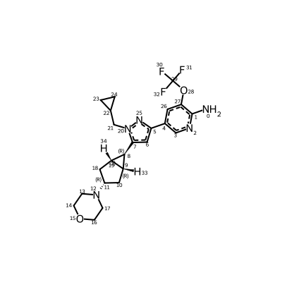 Nc1ncc(-c2cc([C@H]3[C@@H]4C[C@H](N5CCOCC5)C[C@@H]43)n(CC3CC3)n2)cc1OC(F)(F)F